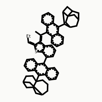 CC/C=c1/sc2c(-c3c4ccccc4c(C45CCCC6CC(CC4)CC5C6)c4ccccc34)cccc2/c1=C(/C)c1c2ccccc2c(C2C3CC4CC5CC2C5(C4)C3)c2ccccc12